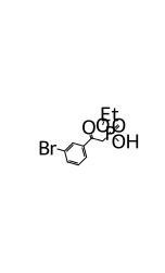 CCOP(=O)(O)CC(=O)c1cccc(Br)c1